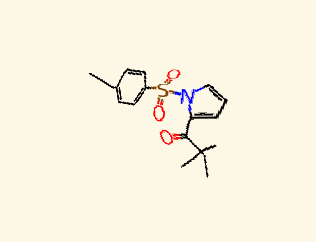 Cc1ccc(S(=O)(=O)n2cccc2C(=O)C(C)(C)C)cc1